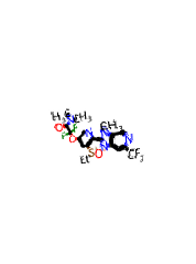 CC[S+]([O-])c1cc(OC(F)(F)C(=O)N(C)C)cnc1-c1nc2cc(C(F)(F)F)ncc2n1C